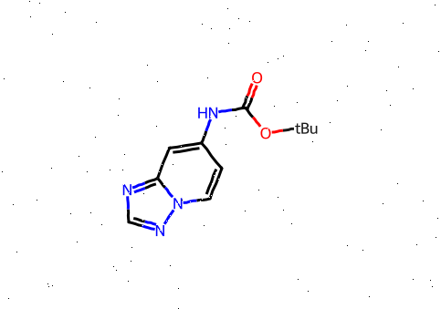 CC(C)(C)OC(=O)Nc1ccn2ncnc2c1